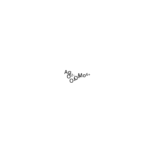 [Ag].[Mo+6].[O-2].[O-2].[O-2]